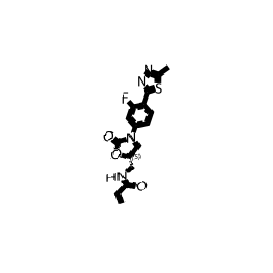 CCC(=O)NC[C@H]1CN(c2ccc(-c3nnc(C)s3)c(F)c2)C(=O)O1